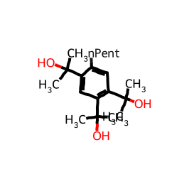 CCCCCc1cc(C(C)(C)O)c(C(C)(C)O)cc1C(C)(C)O